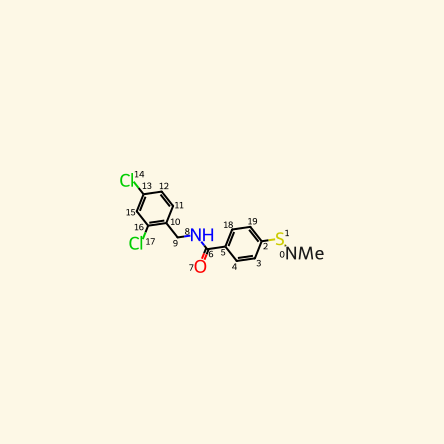 CNSc1ccc(C(=O)NCc2ccc(Cl)cc2Cl)cc1